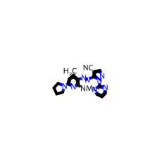 CNc1nc(N2CCCC2)cc(C)c1/N=N/c1c(C#N)cnn1-c1ncccn1